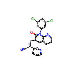 N#C/C(=C/c1cc2cccnc2n(-c2cc(Cl)cc(Cl)c2)c1=O)c1cccnc1